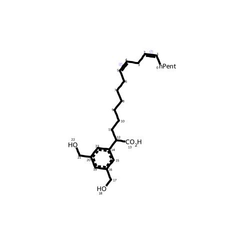 CCCCC/C=C\C/C=C\CCCCCCC(C(=O)O)c1cc(CO)cc(CO)c1